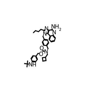 CCCCc1nc2c(N)nc3ccccc3c2n1Cc1ccc(CN(CC2CCC2)C(=O)OCc2ccc(NC(C)(C)C)cc2)cc1